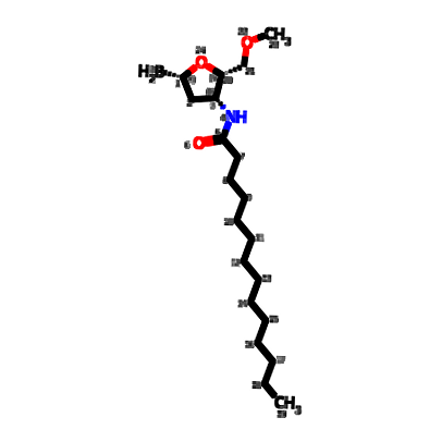 B[C@H]1C[C@@H](NC(=O)CCCCCCCCCCCCC)[C@@H](COC)O1